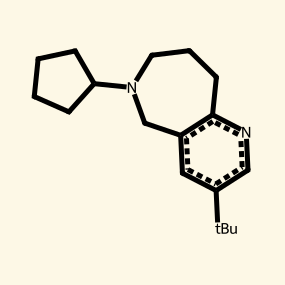 CC(C)(C)c1cnc2c(c1)CN(C1CCCC1)CCC2